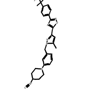 [C-]#[N+]C1CCN(c2cccc(Cn3nc(-c4nc(-c5ccc(C(C)(C)C(F)(F)F)cc5)no4)cc3C)c2)CC1